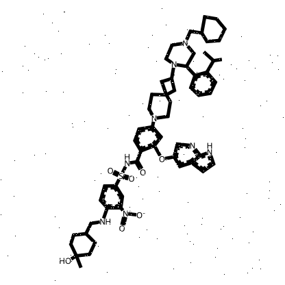 CC(C)c1ccccc1C1CN(CC2CCCCC2)CCN1C1CC2(CCN(c3ccc(C(=O)NS(=O)(=O)c4ccc(NCC5CCC(C)(O)CC5)c([N+](=O)[O-])c4)c(Oc4cnc5[nH]ccc5c4)c3)CC2)C1